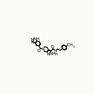 Cc1ccc(CCNC(=O)c2[nH]nc3c2CCN(C(=O)c2ccc4[nH]nnc4c2)C3)cc1